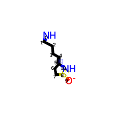 N=CCC/C=C1\CC[S+]([O-])N1